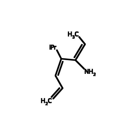 C=C/C=C(\C(N)=C/C)C(C)C